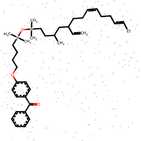 C=CC(CC/C=C\CC/C=C/CC)CC(C)CC[Si](C)(C)O[Si](C)(C)CCCCOc1ccc(C(=O)c2ccccc2)cc1